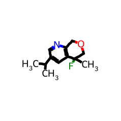 CC(C)c1cnc2c(c1)C(C)(F)COC2